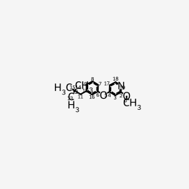 COc1cc(Oc2cccc(CC(C)(C)C)c2)ccn1